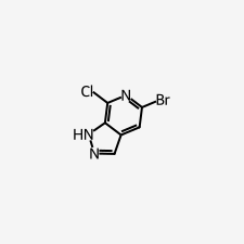 Clc1nc(Br)cc2cn[nH]c12